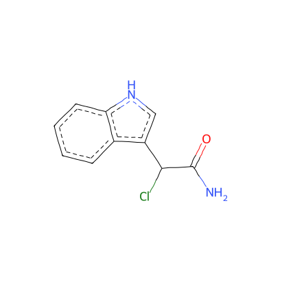 NC(=O)C(Cl)c1c[nH]c2ccccc12